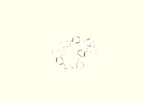 O=C(CCNc1cccc(N2CCOCC2)c1)Nc1ccc(Sc2nc(Nc3cccc(N4CCOCC4)c3)ncc2F)cc1